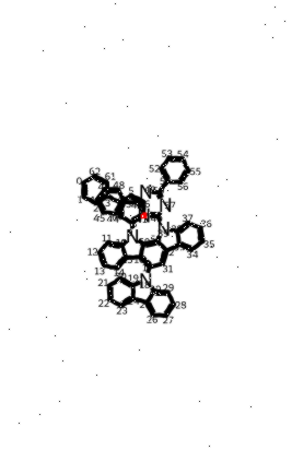 c1ccc(-c2cccc(-n3c4ccccc4c4c(-n5c6ccccc6c6ccccc65)cc5c6ccccc6n(-c6nc(-c7ccccc7)nc(-c7ccccc7)n6)c5c43)c2)cc1